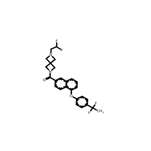 CC(F)(F)c1ccc(Oc2cccc3cc(C(=O)N4CC5(CN(CC(F)F)C5)C4)ccc23)cc1